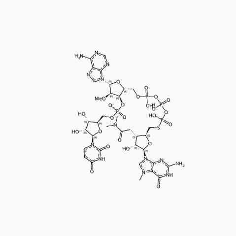 CO[C@@H]1[C@H](OP(=O)([O-])OC[C@H]2O[C@@H](n3ccc(=O)[nH]c3=O)[C@H](O)[C@@H]2O)[C@@H](COP(=O)(O)OP(=O)(O)OP(=O)(O)SC[C@H]2O[C@@H](n3c[n+](C)c4c(=O)[nH]c(N)nc43)[C@H](O)[C@@H]2CC(=O)N(C)C)O[C@H]1n1cnc2c(N)ncnc21